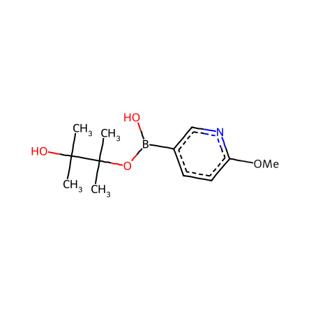 COc1ccc(B(O)OC(C)(C)C(C)(C)O)cn1